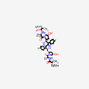 CC[C@H](NC(=O)[C@H](C)NC)C(=O)N1C[C@@H](O)C[C@H]1CCc1c(-c2[nH]c3cc(F)ccc3c2C[C@@H]2C[C@H](O)CN2C(=O)[C@H](CC)NC(O)[C@H](C)NC)[nH]c2cc(F)ccc12